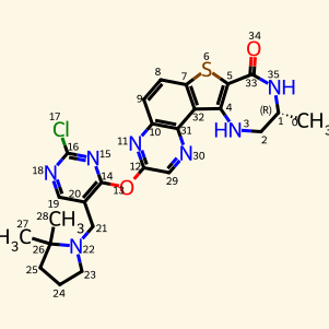 C[C@@H]1CNc2c(sc3ccc4nc(Oc5nc(Cl)ncc5CN5CCCC5(C)C)cnc4c23)C(=O)N1